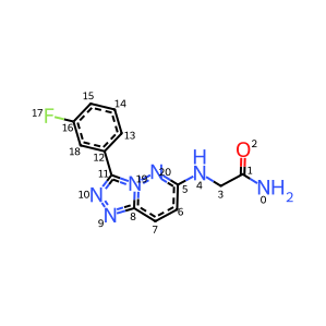 NC(=O)CNc1ccc2nnc(-c3cccc(F)c3)n2n1